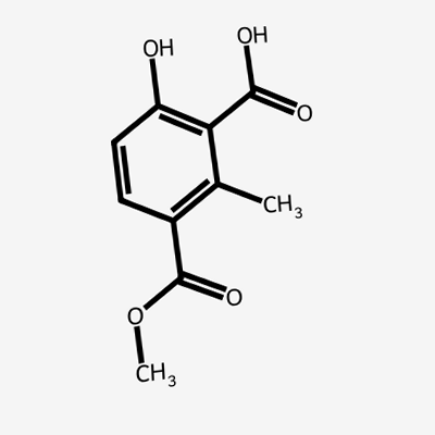 COC(=O)c1ccc(O)c(C(=O)O)c1C